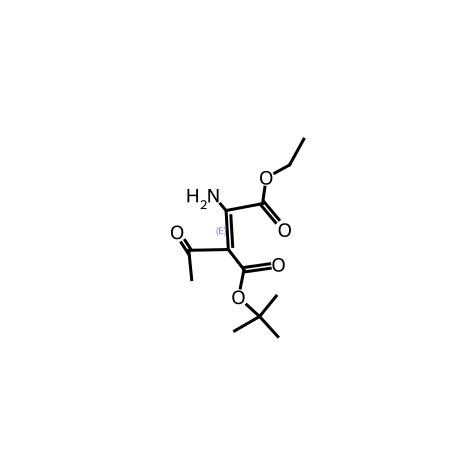 CCOC(=O)/C(N)=C(/C(C)=O)C(=O)OC(C)(C)C